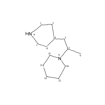 C[C](CC1CCNCC1)N1CCCCC1